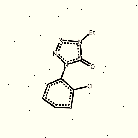 CCn1nnn(-c2ccccc2Cl)c1=O